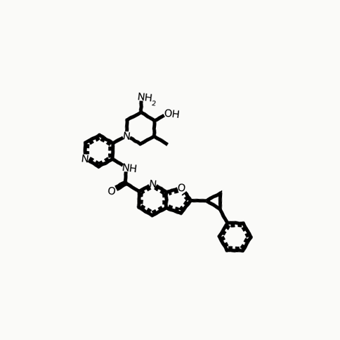 CC1CN(c2ccncc2NC(=O)c2ccc3cc(C4CC4c4ccccc4)oc3n2)CC(N)C1O